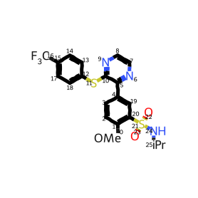 COc1ccc(-c2nccnc2Sc2ccc(C(F)(F)F)cc2)cc1S(=O)(=O)NC(C)C